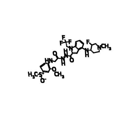 COc1cc([S+](C)[O-])ccc1NCC(=O)NNC(=O)c1cc2c(NC3CCN(C)CC3F)cccc2n1CC(F)(F)F